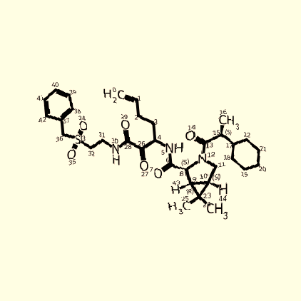 C=CCCC(NC(=O)[C@@H]1[C@@H]2[C@H](CN1C(=O)[C@@H](C)C1CCCCC1)C2(C)C)C(=O)C(=O)NCCS(=O)(=O)Cc1ccccc1